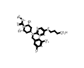 CC[C@@H]1C[C@H](N(Cc2cc(Cl)cc(C(F)(F)F)c2)c2ncc(OCCCC(=O)O)cn2)C[C@H](CC)N1C(=O)OC(C)C